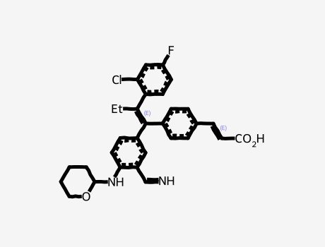 CC/C(=C(/c1ccc(/C=C/C(=O)O)cc1)c1ccc(NC2CCCCO2)c(C=N)c1)c1ccc(F)cc1Cl